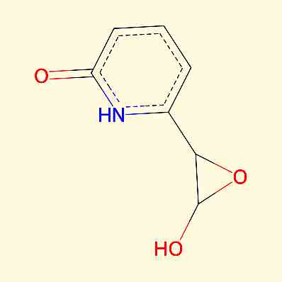 O=c1cccc(C2OC2O)[nH]1